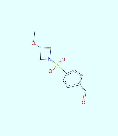 COC1CN(S(=O)(=O)c2ccc(C=O)cc2)C1